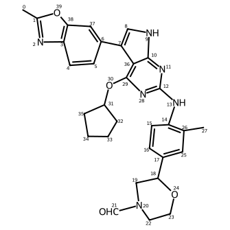 Cc1nc2ccc(-c3c[nH]c4nc(Nc5ccc(C6CN(C=O)CCO6)cc5C)nc(OC5CCCC5)c34)cc2o1